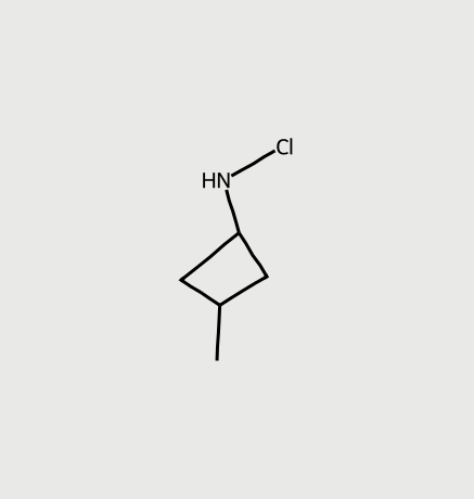 CC1CC(NCl)C1